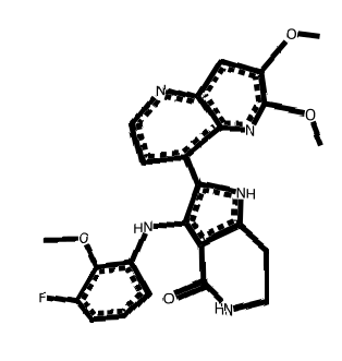 COc1cc2nccc(-c3[nH]c4c(c3Nc3cccc(F)c3OC)C(=O)NCC4)c2nc1OC